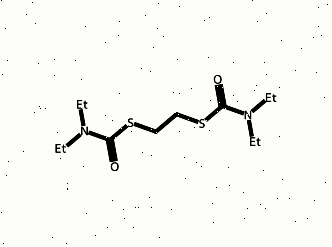 CCN(CC)C(=O)SCCSC(=O)N(CC)CC